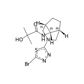 CC(C)(O)C(=O)N[C@H]1[C@@H]2CC[C@H]1CN(c1nnc(Br)s1)C2